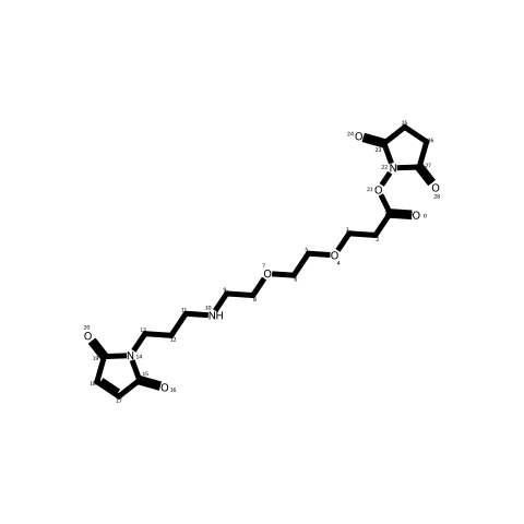 O=C(CCOCCOCCNCCCN1C(=O)C=CC1=O)ON1C(=O)CCC1=O